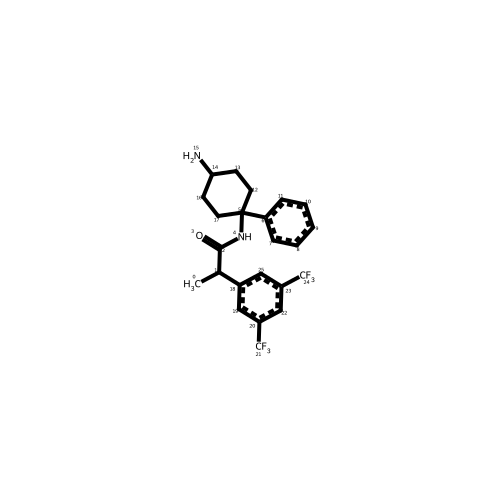 CC(C(=O)NC1(c2ccccc2)CCC(N)CC1)c1cc(C(F)(F)F)cc(C(F)(F)F)c1